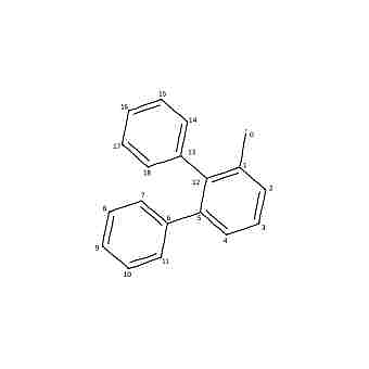 [CH2]c1cccc(-c2ccccc2)c1-c1ccccc1